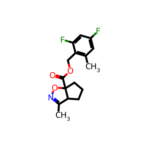 CC1=NOC2(C(=O)OCc3c(C)cc(F)cc3F)CCCC12